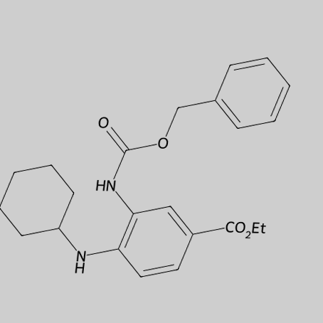 CCOC(=O)c1ccc(NC2CCCCC2)c(NC(=O)OCc2ccccc2)c1